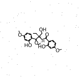 CC[C@@H](C(=O)c1ccc(OC)cc1O)[C@@](CC)(CO)C(=O)c1ccc(OC)cc1O